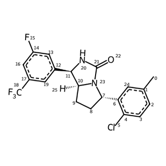 Cc1ccc(Cl)c([C@@H]2CC[C@H]3[C@@H](c4cc(F)cc(C(F)(F)F)c4)NC(=O)N23)c1